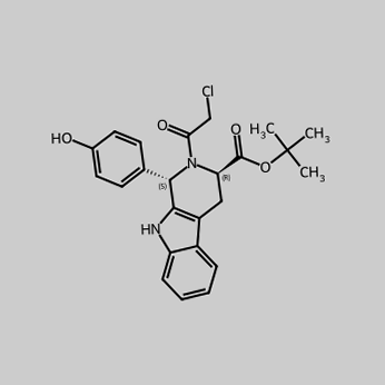 CC(C)(C)OC(=O)[C@H]1Cc2c([nH]c3ccccc23)[C@H](c2ccc(O)cc2)N1C(=O)CCl